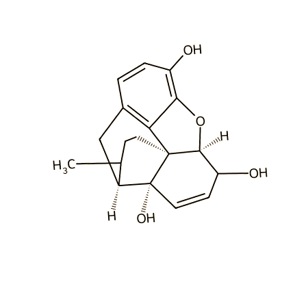 CC1CC[C@]23c4c5ccc(O)c4O[C@H]2C(O)C=C[C@@]3(O)[C@H]1C5